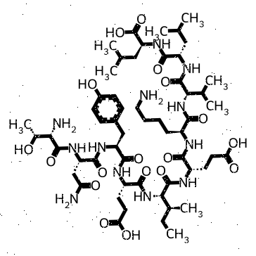 CC[C@H](C)[C@H](NC(=O)[C@H](CCC(=O)O)NC(=O)[C@H](Cc1ccc(O)cc1)NC(=O)[C@H](CC(N)=O)NC(=O)[C@@H](N)[C@@H](C)O)C(=O)N[C@@H](CCC(=O)O)C(=O)N[C@@H](CCCCN)C(=O)N[C@H](C(=O)N[C@@H](CC(C)C)C(=O)N[C@@H](CC(C)C)C(=O)O)C(C)C